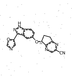 N#Cc1cnc2c(n1)CC[C@@H]2Oc1ccc2[nH]nc(-c3cnco3)c2c1